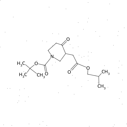 CC(C)COC(=O)CC1CN(C(=O)OC(C)(C)C)CCC1=O